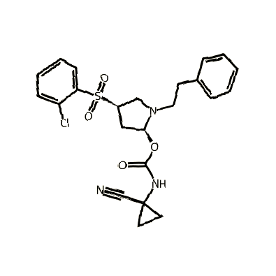 N#CC1(NC(=O)O[C@H]2C[C@@H](S(=O)(=O)c3ccccc3Cl)CN2CCc2ccccc2)CC1